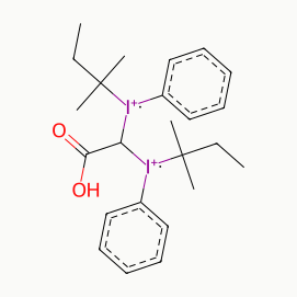 CCC(C)(C)[I+](c1ccccc1)C(C(=O)O)[I+](c1ccccc1)C(C)(C)CC